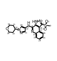 CS(=O)(=O)c1n[nH]c2c(Nc3cnn(C4CCOCC4)c3)nc3ccccc3c12